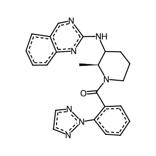 C[C@H]1C(Nc2ncc3ccccc3n2)CCCN1C(=O)c1ccccc1-n1nccn1